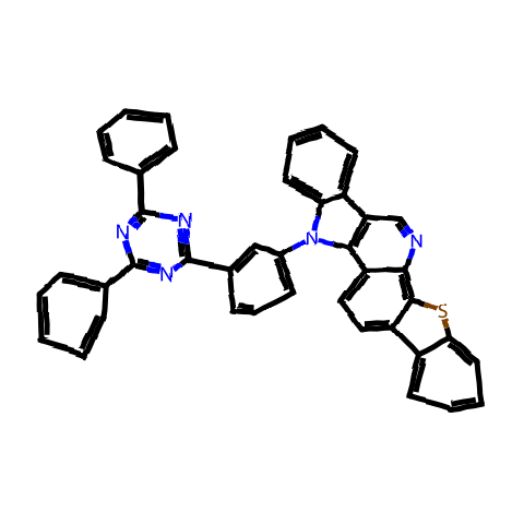 c1ccc(-c2nc(-c3ccccc3)nc(-c3cccc(-n4c5ccccc5c5cnc6c(ccc7c8ccccc8sc76)c54)c3)n2)cc1